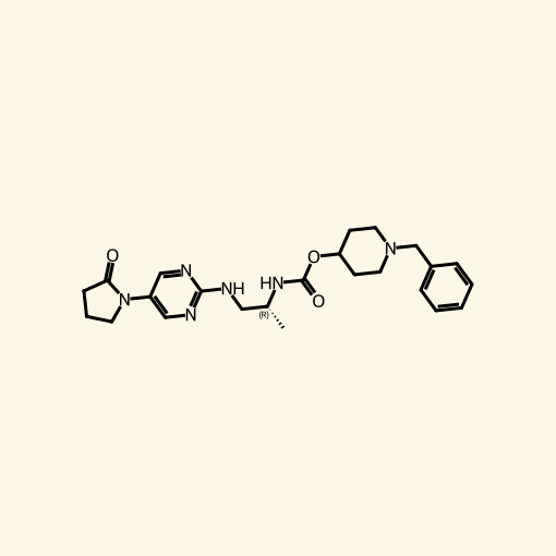 C[C@H](CNc1ncc(N2CCCC2=O)cn1)NC(=O)OC1CCN(Cc2ccccc2)CC1